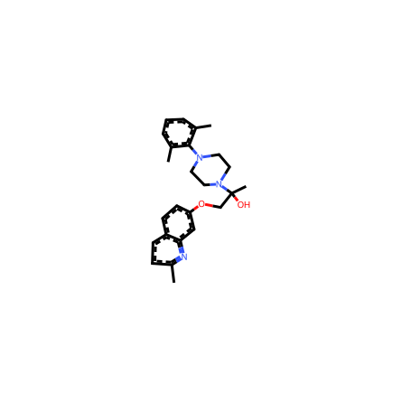 Cc1ccc2ccc(OCC(C)(O)N3CCN(c4c(C)cccc4C)CC3)cc2n1